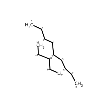 CCCCCCCCC.[Li][CH2]CCC